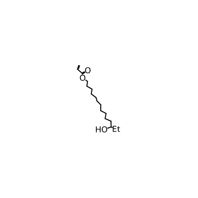 C=CC(=O)OCCCCCCCCCCCC(O)CC